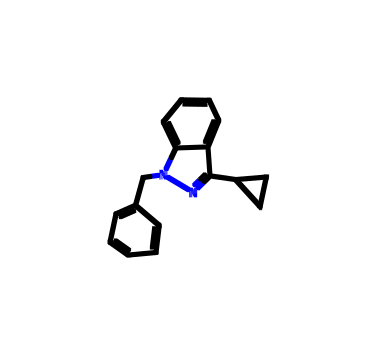 c1ccc(Cn2nc(C3CC3)c3ccccc32)cc1